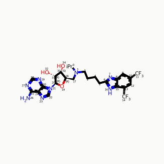 CC(C)N(CCCCc1nc2cc(C(F)(F)F)cc(C(F)(F)F)c2[nH]1)C[C@H]1O[C@@H](n2cnc3c(N)ncnc32)[C@H](O)[C@@H]1O